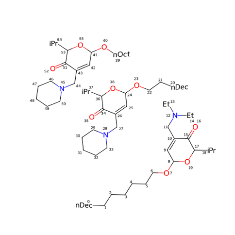 CCCCCCCCCCCCCCCCOC1C=C(CN(CC)CC)C(=O)C(C(C)C)O1.CCCCCCCCCCCCOC1C=C(CN2CCCCC2)C(=O)C(C(C)C)O1.CCCCCCCCOC1C=C(CN2CCCCC2)C(=O)C(C(C)C)O1